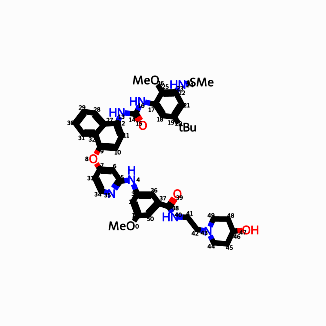 COc1cc(Nc2cc(Oc3ccc(NC(=O)Nc4cc(C(C)(C)C)cc(NSC)c4OC)c4ccccc34)ccn2)cc(C(=O)NCCN2CCC(O)CC2)c1